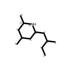 CCC(C)CC1CC(C)CC(C)N1